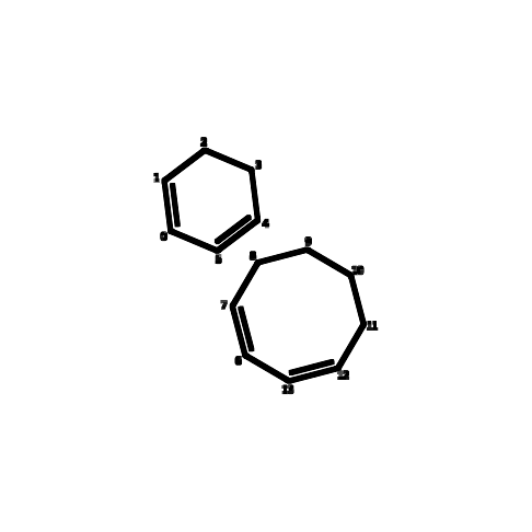 C1=CCCC=C1.C1=CCCCCC=C1